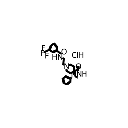 Cl.O=C(NCCN1CCC2(CC1)C(=O)NCN2c1ccccc1)c1cccc(C(F)(F)F)c1